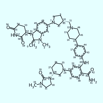 C=C1N(C)c2cc(N3CC[C@H](CN4CCC(c5ccc(Nc6nc(N7CCC[C@@H](N8CCN(C)C8=O)C7)cnc6C(N)=O)cc5)CC4)C3)ccc2N1[C@@H]1CCC(=O)NC1=O